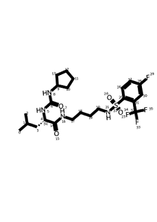 CC(C)C[C@H](NC(=O)NC1CCCC1)C(=O)NCCCCNS(=O)(=O)c1ccc(F)cc1C(F)(F)F